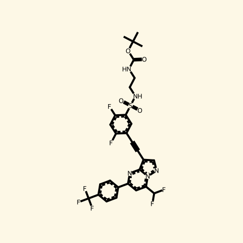 CC(C)(C)OC(=O)NCCNS(=O)(=O)c1cc(C#Cc2cnn3c(C(F)F)cc(-c4ccc(C(F)(F)F)cc4)nc23)c(F)cc1F